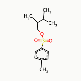 Cc1ccc(S(=O)(=O)OCC(C)C(C)C)cc1